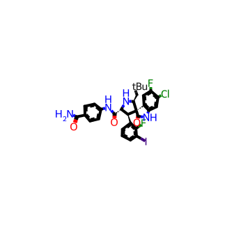 CC(C)(C)C[C@@H]1N[C@@H](C(=O)Nc2ccc(C(N)=O)cc2)[C@H](c2cccc(I)c2F)[C@]12C(=O)Nc1cc(Cl)c(F)cc12